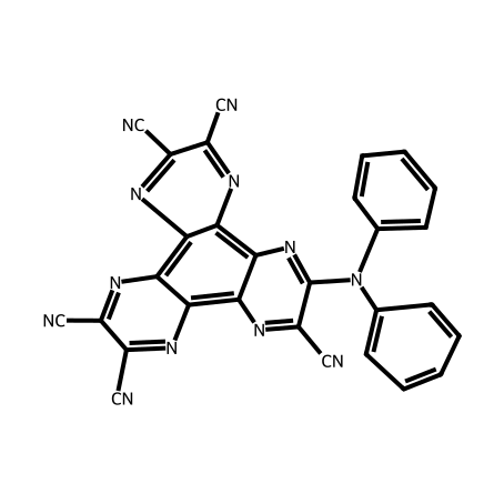 N#Cc1nc2c3nc(C#N)c(C#N)nc3c3nc(N(c4ccccc4)c4ccccc4)c(C#N)nc3c2nc1C#N